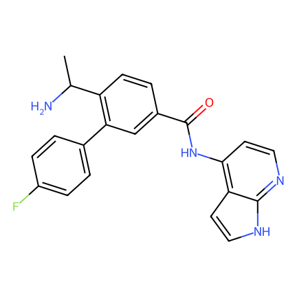 CC(N)c1ccc(C(=O)Nc2ccnc3[nH]ccc23)cc1-c1ccc(F)cc1